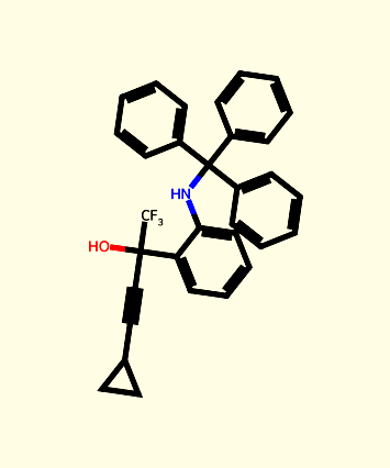 OC(C#CC1CC1)(c1ccccc1NC(c1ccccc1)(c1ccccc1)c1ccccc1)C(F)(F)F